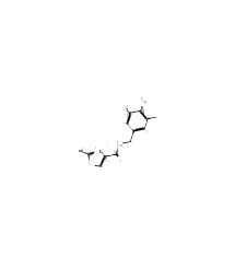 Nc1c(F)cc(CNC(=O)c2csc(Cl)n2)cc1F